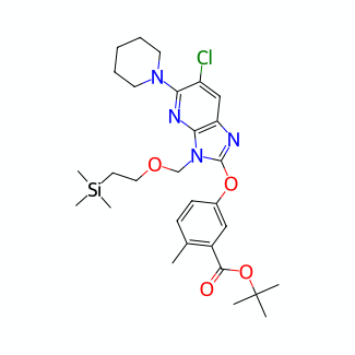 Cc1ccc(Oc2nc3cc(Cl)c(N4CCCCC4)nc3n2COCC[Si](C)(C)C)cc1C(=O)OC(C)(C)C